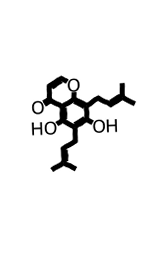 CC(C)=CCc1c(O)c(CC=C(C)C)c2occc(=O)c2c1O